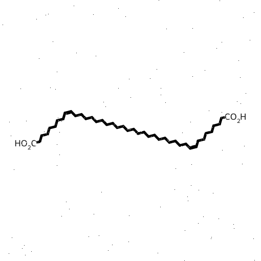 O=C(O)CCCCCCC/C=C\CCCCCCCCCCCCCCCCCCCCCC/C=C\CCCCCCCC(=O)O